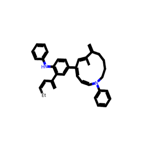 C=C1CCCCN(c2ccccc2)C=C/C=C(c2ccc(Nc3ccccc3)c(C(=C)/C=C\CC)c2)\C=C\1C